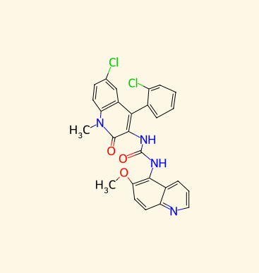 COc1ccc2ncccc2c1NC(=O)Nc1c(-c2ccccc2Cl)c2cc(Cl)ccc2n(C)c1=O